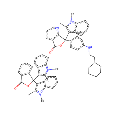 CCn1c(C)c(C2(c3c(C)n(CC)c4ccccc34)OC(=O)c3ccccc32)c2ccccc21.CCn1c(C)c(C2(c3ccc(NCCC4CCCCC4)cc3OC)OC(=O)c3cccnc32)c2ccccc21